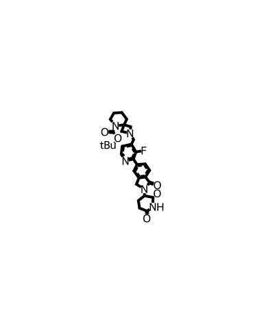 CC(C)(C)OC(=O)N1CCCCC12CN(Cc1ccnc(-c3ccc4c(c3)CN(C3CCC(=O)NC3=O)C4=O)c1F)C2